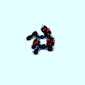 C1=CC2Oc3ccccc3C3(c4ccccc4-c4cc5c(-c6ccc(-c7cc(-c8cccc9c8sc8ccccc89)nc(-c8ccccc8)n7)cc6)nc6cc(-c7ccc8c(c7)C7(c9ccccc9O8)c8ccccc8-c8cc9c(-c%10ccc(-c%11cc(-c%12cccc%13oc%14ccccc%14c%12%13)nc(-c%12ccccc%12)n%11)cc%10)nc%10ccccc%10c9cc87)ccc6c5cc43)C2C=C1